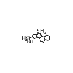 CC(C)(C)[NH][Ti]([CH3])([CH3])[C]1=Cc2c(ccc3c2ccc2ccccc23)C1.[SiH4]